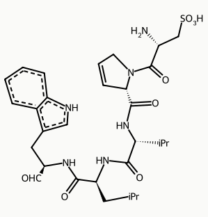 CC(C)C[C@H](NC(=O)[C@H](NC(=O)[C@@H]1C=CCN1C(=O)[C@H](N)CS(=O)(=O)O)C(C)C)C(=O)N[C@@H](C=O)Cc1c[nH]c2ccccc12